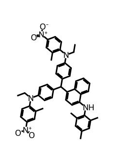 CCN(c1ccc(C(c2ccc(N(CC)c3ccc([N+](=O)[O-])cc3C)cc2)c2ccc(Nc3c(C)cc(C)cc3C)c3ccccc23)cc1)c1ccc([N+](=O)[O-])cc1C